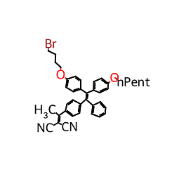 CCCCCOc1ccc(/C(=C(\c2ccccc2)c2ccc(C(C)=C(C#N)C#N)cc2)c2ccc(OCCCCBr)cc2)cc1